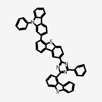 c1ccc(-c2nc(-c3ccc4sc5c(-c6ccc7c8ccccc8n(-c8ccccc8)c7c6)cccc5c4c3)nc(-c3cccc4sc5ccccc5c34)n2)cc1